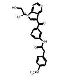 C[C@@H](CO)n1cc(C(=O)c2cncc(NC(=O)Cc3ccc(OC(F)(F)F)cc3)c2)c2cncnc21